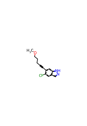 COCCCC#Cc1cc2[nH]ncc2cc1Cl